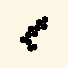 c1ccc(-c2nnc(-c3ccc(-c4ccccc4-c4ccccc4-c4ccc(-n5c6ccccc6c6cc(-c7cccc8ccccc78)ccc65)cc4)cc3)n2-c2ccccc2)cc1